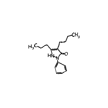 CCCCc1c(CCC)[nH]n(-c2ccccc2)c1=O